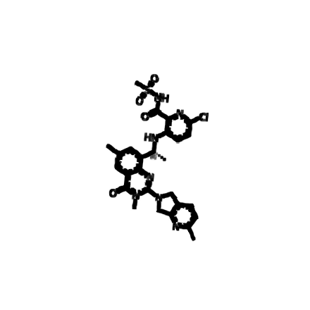 Cc1cc([C@@H](C)Nc2ccc(Cl)nc2C(=O)NS(C)(=O)=O)c2nc(N3Cc4ccc(C)nc4C3)n(C)c(=O)c2c1